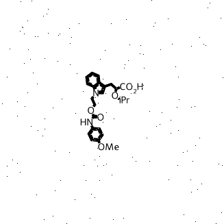 COc1ccc(NC(=O)OCCn2cc(CC(OC(C)C)C(=O)O)c3ccccc32)cc1